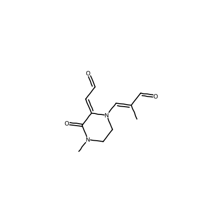 C/C(C=O)=C\N1CCN(C)C(=O)/C1=C/C=O